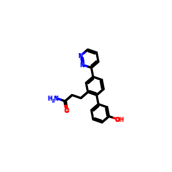 NC(=O)CCc1cc(-c2cccnn2)ccc1-c1cccc(O)c1